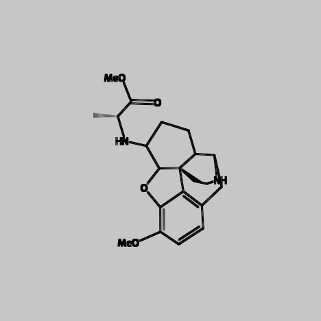 COC(=O)[C@@H](C)NC1CCC2C3Cc4ccc(OC)c5c4[C@]2(CCN3)C1O5